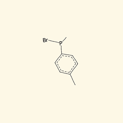 Cc1ccc(P(C)Br)cc1